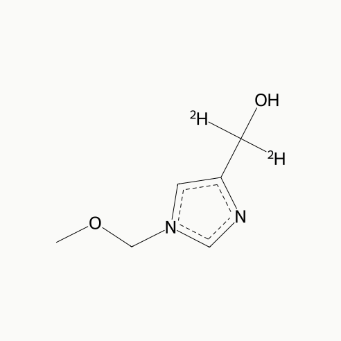 [2H]C([2H])(O)c1cn(COC)cn1